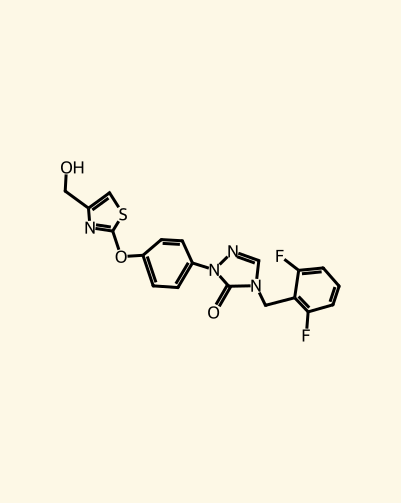 O=c1n(Cc2c(F)cccc2F)cnn1-c1ccc(Oc2nc(CO)cs2)cc1